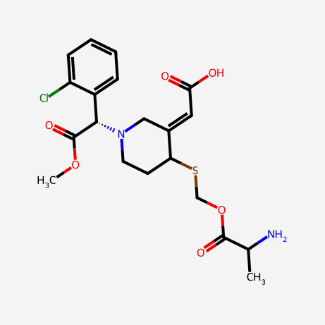 COC(=O)[C@H](c1ccccc1Cl)N1CCC(SCOC(=O)C(C)N)/C(=C/C(=O)O)C1